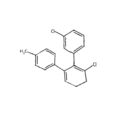 Cc1ccc(C2=CC[CH]C(Cl)=C2c2cccc(Cl)c2)cc1